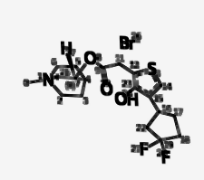 C[N+]12CCC(CC1)[C@@H](OC(=O)Cc1scc(C3CCC(F)(F)C3)c1O)C2.[Br-]